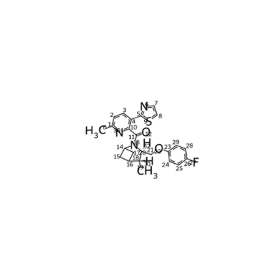 Cc1ccc(-c2nccs2)c(C(=O)N2C3CC(C3)[C@@H](C)[C@@H]2COc2ccc(F)cc2)n1